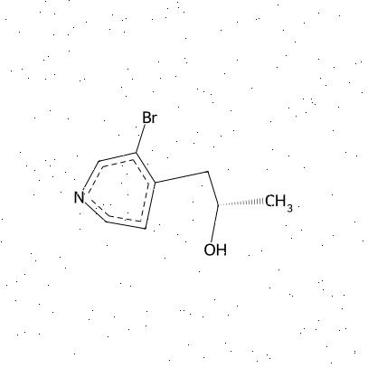 C[C@H](O)Cc1ccncc1Br